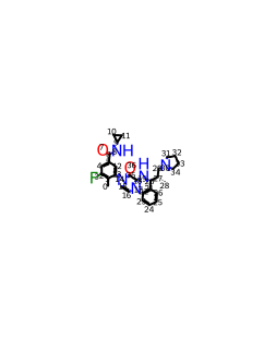 Cc1c(F)cc(C(=O)NC2CC2)cc1-n1ccnc(N[C@@H](c2ccccc2)[C@@H](C)CN2CCCC2)c1=O